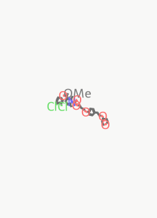 COC(=O)C1=C(C)N(C(=O)OCCCOc2ccc(CCOC3CCOCC3)cc2)C(C)=C[C@@H]1c1cccc(Cl)c1Cl